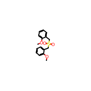 COc1ccccc1CS(=O)(=O)Cc1ccccc1OC